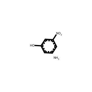 N.O=[N+]([O-])c1cccc(O)c1